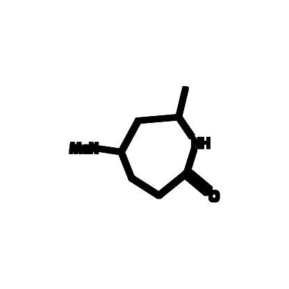 CNC1CCC(=O)NC(C)C1